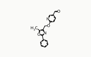 Cc1oc(-c2ccccc2)nc1COc1ccc(C=O)cn1